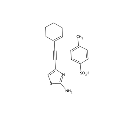 Cc1ccc(S(=O)(=O)O)cc1.Nc1nc(C#CC2=CCCCC2)cs1